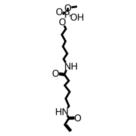 C=CC(=O)NCCCCCC(=O)NCCCCCCOP(=O)(O)OC